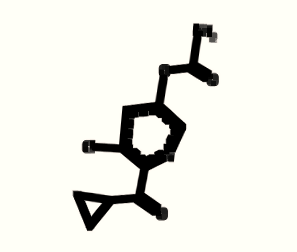 NC(=O)Oc1cnc(C(=O)C2CC2)c(Cl)c1